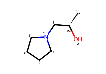 [CH2][C@H](O)CN1CCCC1